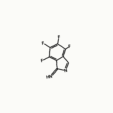 N=C1N=Cc2c(F)c(F)c(F)c(F)c21